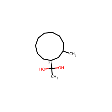 CC1CCCCCCCC[C@H](C(C)(O)O)C1